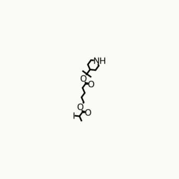 CC(I)C(=O)OCCCCC(=O)OC(C)(C)C1CCNCC1